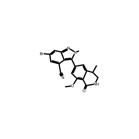 COc1cc(-c2c3c(C#N)cc(Br)cc3nn2C)cc2c1C(=O)NCC2C